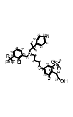 CC(C)(CN(CCCOc1cc(F)c(CCO)c(S(C)(=O)=O)c1)Cc1cccc(C(F)(F)F)c1Cl)c1ccc(F)cc1